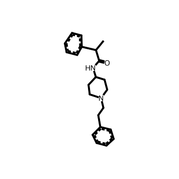 CC(C(=O)NC1CCN(CCc2ccccc2)CC1)c1ccccc1